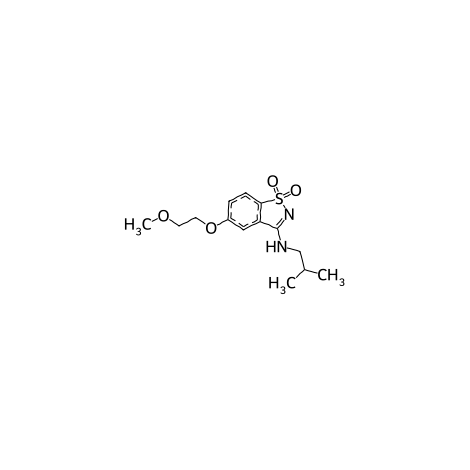 COCCOc1ccc2c(c1)C(NCC(C)C)=NS2(=O)=O